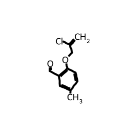 C=C(Cl)COc1ccc(C)cc1C=O